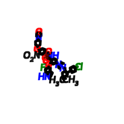 CC1(C)CCC(CN2CCN(c3ccc(C(=O)NS(=O)(=O)c4ccc(OC5CCC(N6CCOCC6)CC5)c([N+](=O)[O-])c4)c(Oc4cc5cc[nH]c5cc4F)c3)CC2)=C(c2ccc(Cl)cc2)C1